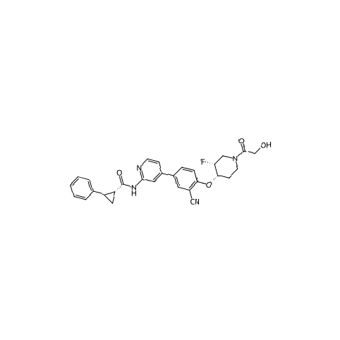 N#Cc1cc(-c2ccnc(NC(=O)[C@@H]3CC3c3ccccc3)c2)ccc1O[C@H]1CCN(C(=O)CO)C[C@H]1F